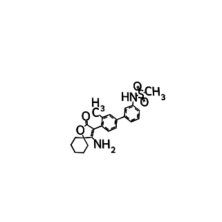 Cc1cc(-c2cccc(NS(C)(=O)=O)c2)ccc1C1=C(N)C2(CCCCC2)OC1=O